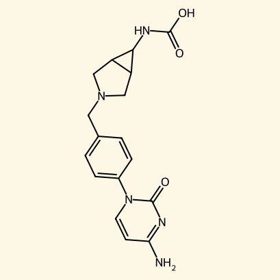 Nc1ccn(-c2ccc(CN3CC4C(C3)C4NC(=O)O)cc2)c(=O)n1